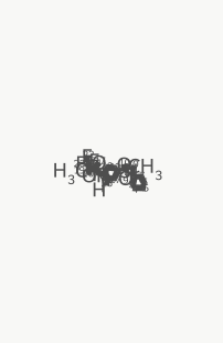 CN(c1ccccc1)S(=O)(=O)c1ccc(NC(=O)[C@@](C)(O)C(F)(F)F)c(F)c1